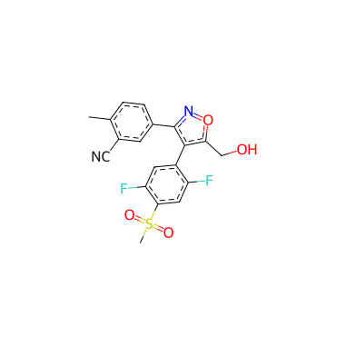 Cc1ccc(-c2noc(CO)c2-c2cc(F)c(S(C)(=O)=O)cc2F)cc1C#N